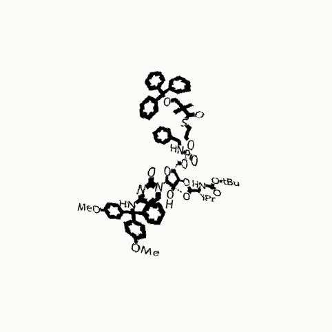 COc1ccc(C(Nc2ccn([C@@H]3O[C@H](COP(=O)(NCc4ccccc4)OCCSC(=O)C(C)(C)COC(c4ccccc4)(c4ccccc4)c4ccccc4)[C@@H](OC(=O)[C@H](NC(=O)OC(C)(C)C)C(C)C)[C@@]3(C)O)c(=O)n2)(c2ccccc2)c2ccc(OC)cc2)cc1